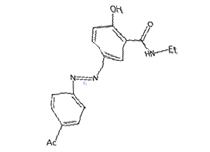 CCNC(=O)c1cc(/N=N/c2ccc(C(C)=O)cc2)ccc1O